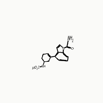 NC(=O)n1ccc2c(C3=CCCC(NC(=O)O)C3)cccc21